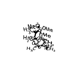 CO[Si](OC)(OC)C(C)[Si](C)(C)O[Si](C)(C)O[SiH](C)C